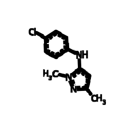 Cc1cc(Nc2ccc(Cl)cc2)n(C)n1